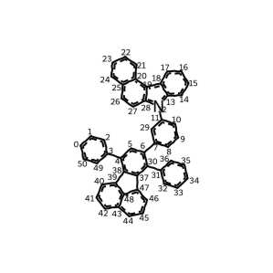 c1ccc(-c2cc(-c3cccc(-n4c5ccccc5c5c6ccccc6ccc54)c3)c(-c3ccccc3)c3c2-c2cccc4cccc-3c24)cc1